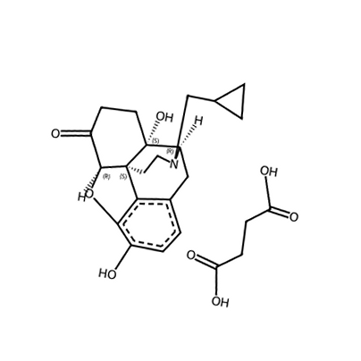 O=C(O)CCC(=O)O.O=C1CC[C@@]2(O)[C@H]3Cc4ccc(O)c5c4[C@@]2(CCN3CC2CC2)[C@H]1O5